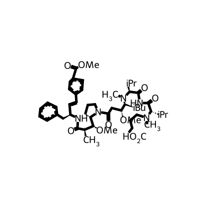 CC[C@H](C)[C@@H]([C@@H](CC(=O)N1CCC[C@H]1[C@H](OC)[C@@H](C)C(=O)N[C@H](/C=C/c1ccc(C(=O)OC)cc1)Cc1ccccc1)OC)N(C)[C@H](C(=O)NC(=O)[C@H](C(C)C)N(C)CCCC(=O)O)C(C)C